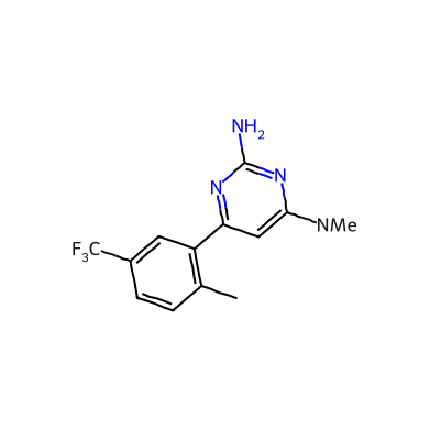 CNc1cc(-c2cc(C(F)(F)F)ccc2C)nc(N)n1